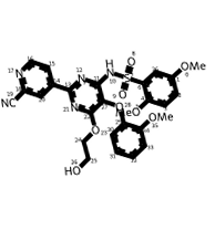 COc1ccc(OC)c(S(=O)(=O)Nc2nc(-c3ccnc(C#N)c3)nc(OCCO)c2Oc2ccccc2OC)c1